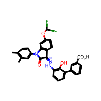 Cc1ccc(N2C(=O)/C(=N\Nc3cccc(-c4cccc(C(=O)O)c4)c3O)c3ccc(OC(F)F)cc32)cc1C